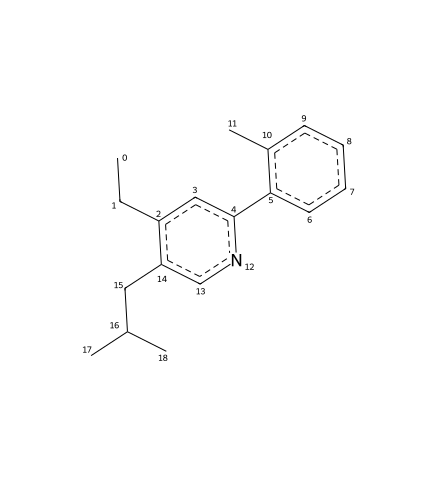 CCc1cc(-c2ccccc2C)ncc1CC(C)C